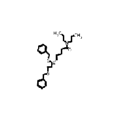 CCCN(CCC)C(=O)CCCC[C@H](CCSCc1ccccc1)SCc1ccccc1